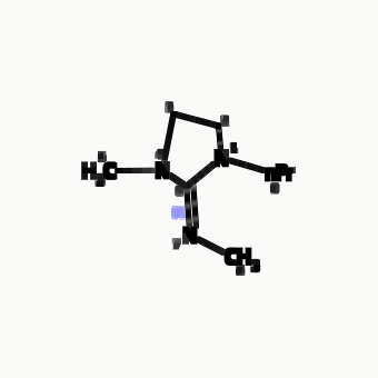 CCCN1CCN(C)/C1=N/C